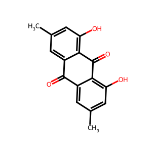 Cc1cc(O)c2c(c1)C(=O)c1cc(C)cc(O)c1C2=O